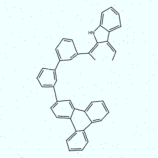 C/C=c1\c(=C(/C)c2cccc(-c3cccc(-c4ccc5c6ccccc6c6ccccc6c5c4)c3)c2)[nH]c2ccccc12